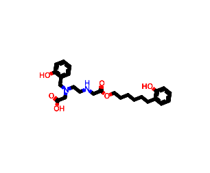 O=C(O)CN(CCNCC(=O)OCCCCCCc1ccccc1O)Cc1ccccc1O